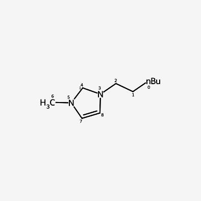 CCCCCCN1[C]N(C)C=C1